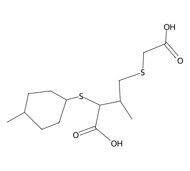 CC1CCC(SC(C(=O)O)C(C)CSCC(=O)O)CC1